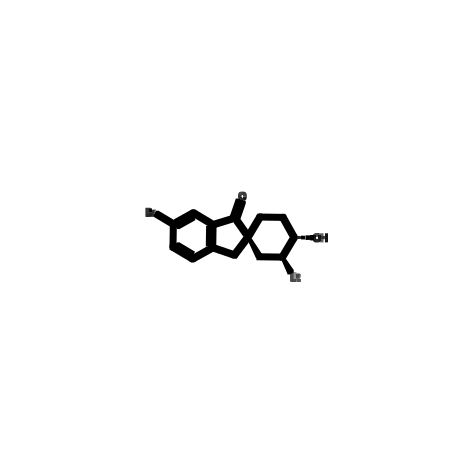 CC[C@H]1C[C@@]2(CC[C@@H]1O)Cc1ccc(Br)cc1C2=O